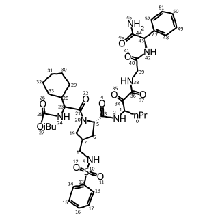 CCCC(NC(=O)[C@@H]1CC(CNS(=O)(=O)c2ccccc2)CN1C(=O)C(NC(=O)OCC(C)C)C1CCCCC1)C(=O)C(=O)NCC(=O)N[C@@H](C(N)=O)c1ccccc1